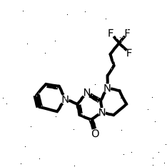 O=c1cc(N2C=CC#CC2)nc2n1CCCN2CCCC(F)(F)F